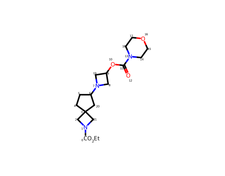 CCOC(=O)N1CC2(CCC(N3CC(OC(=O)N4CCOCC4)C3)C2)C1